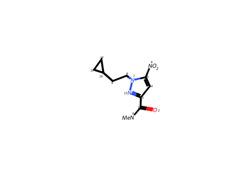 CNC(=O)c1cc([N+](=O)[O-])n(CCC2CC2)n1